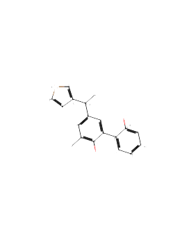 Cc1cc(C(C)c2ccsc2)cc(-c2ccccc2O)c1O